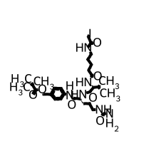 CC(C)[C@@H](NC(=O)CCCCNC(=O)CI)C(=O)N[C@H](CCCNC(N)=O)C(=O)Nc1ccc(COC(=O)C(C)(C)C)cc1